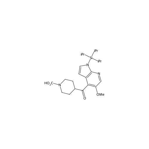 COc1cnc2c(ccn2[Si](C(C)C)(C(C)C)C(C)C)c1C(=O)C1CCN(C(=O)O)CC1